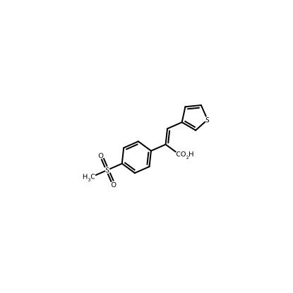 CS(=O)(=O)c1ccc(C(=Cc2ccsc2)C(=O)O)cc1